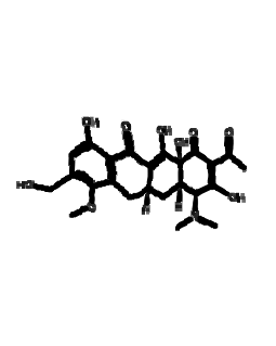 COc1c(CO)cc(O)c2c1C[C@H]1C[C@H]3[C@H](N(C)C)C(O)=C(C(C)=O)C(=O)[C@@]3(O)C(O)=C1C2=O